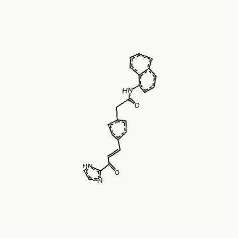 O=C(Cc1ccc(C=CC(=O)c2ncc[nH]2)cc1)Nc1cccc2ccccc12